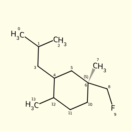 CC(C)CC1C[C@@](C)(CF)CCC1C